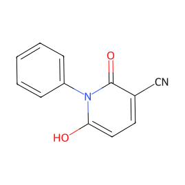 N#Cc1ccc(O)n(-c2ccccc2)c1=O